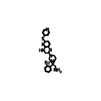 NC[C@]1(c2ccccc2F)[C@@H]2CCN(C3=Nc4ccc(Sc5ccncc5)nc4NC3)C[C@@H]21